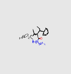 CC(C(=O)O)C(C(=O)NN)C(C)c1ccccc1